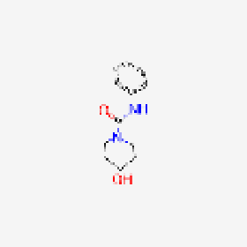 O=C(Nc1ccccc1)N1CCC(O)CC1